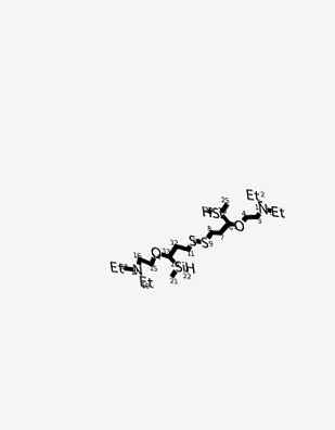 CCN(CC)CCOC(CCSSCCC(OCCN(CC)CC)[SiH](C)C)[SiH](C)C